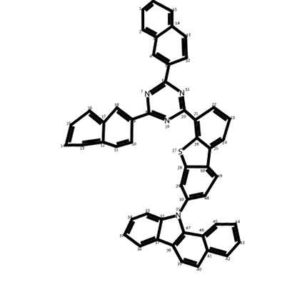 c1ccc2cc(-c3nc(-c4ccc5ccccc5c4)nc(-c4cccc5c4sc4cc(-n6c7ccccc7c7ccc8ccccc8c76)ccc45)n3)ccc2c1